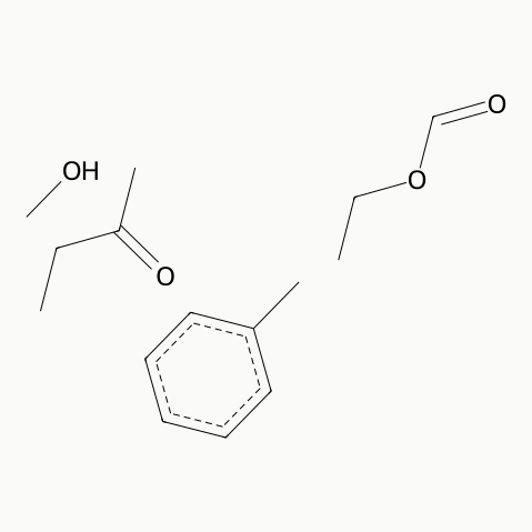 CCC(C)=O.CCOC=O.CO.Cc1ccccc1